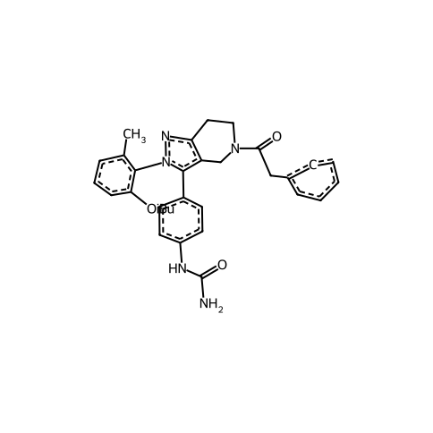 Cc1cccc(OCC(C)C)c1-n1nc2c(c1-c1ccc(NC(N)=O)cc1)CN(C(=O)Cc1ccccc1)CC2